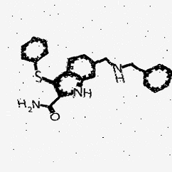 NC(=O)c1[nH]c2cc(CNCc3ccccc3)ccc2c1Sc1ccccc1